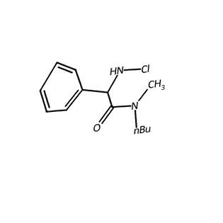 CCCCN(C)C(=O)C(NCl)c1ccccc1